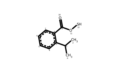 CC(C)c1ccccc1C(=O)OS